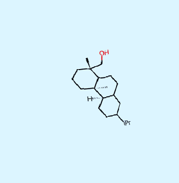 CC(C)C1CC[C@@H]2C(CCC3[C@@](C)(CO)CCC[C@@]32C)C1